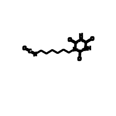 O=C=NCCCCCCn1c(=O)[nH]c(=O)[nH]c1=O